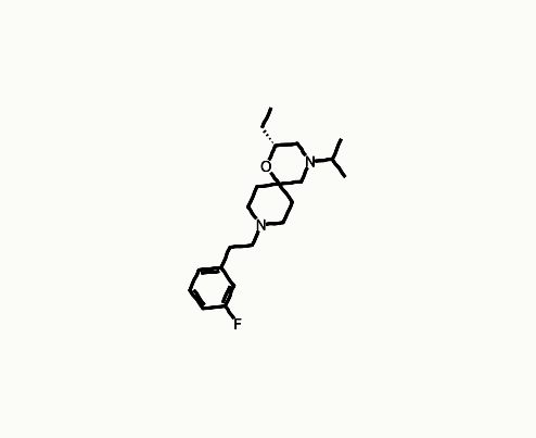 CC[C@@H]1CN(C(C)C)CC2(CCN(CCc3cccc(F)c3)CC2)O1